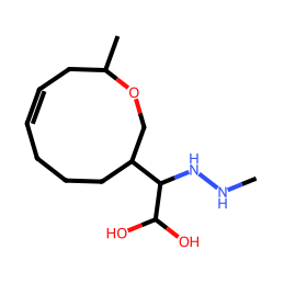 CNNC(C(O)O)C1CCC/C=C\CC(C)OC1